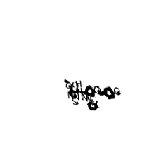 CCOC(=O)c1cnc(SC)nc1Nc1nn(-c2ccccn2)c2cc(OCc3ccc(OC)cc3)ccc12